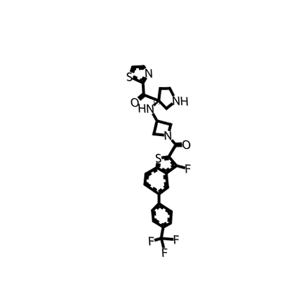 O=C(c1sc2ccc(-c3ccc(C(F)(F)F)cc3)cc2c1F)N1CC(N[C@@]2(C(=O)c3nccs3)CCNC2)C1